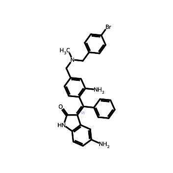 CN(Cc1ccc(Br)cc1)Cc1ccc(/C(=C2\C(=O)Nc3ccc(N)cc32)c2ccccc2)c(N)c1